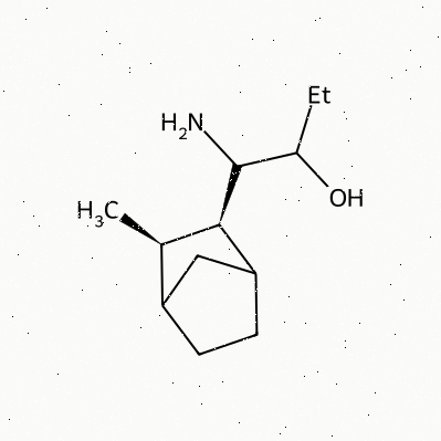 CCC(O)C(N)[C@H]1C2CCC(C2)[C@H]1C